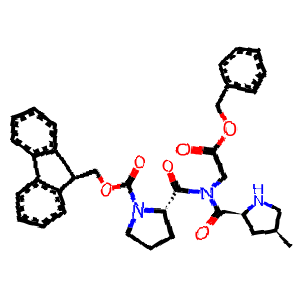 C[C@@H]1CN[C@H](C(=O)N(CC(=O)OCc2ccccc2)C(=O)[C@@H]2CCCN2C(=O)OCC2c3ccccc3-c3ccccc32)C1